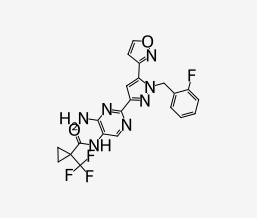 Nc1nc(-c2cc(-c3ccon3)n(Cc3ccccc3F)n2)ncc1NC(=O)C1(C(F)(F)F)CC1